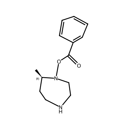 C[C@@H]1CCNCCN1OC(=O)c1ccccc1